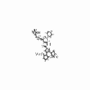 COc1cccc(OC)c1-c1cc(C(=O)N[C@@H](CCN2CCCCC2)CC(=O)NCCc2nnn[nH]2)nn1C1CCCC1